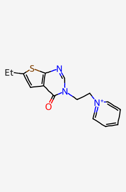 CCc1cc2c(=O)n(CC[n+]3ccccc3)cnc2s1